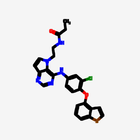 CCC(=O)NCCn1ccc2ncnc(Nc3ccc(Oc4cccc5sccc45)c(Cl)c3)c21